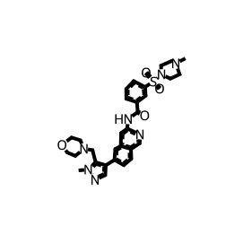 CN1CCN(S(=O)(=O)c2cccc(C(=O)Nc3cc4cc(-c5cnn(C)c5CN5CCOCC5)ccc4cn3)c2)CC1